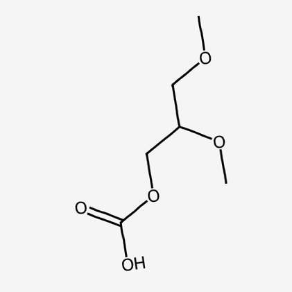 COCC(COC(=O)O)OC